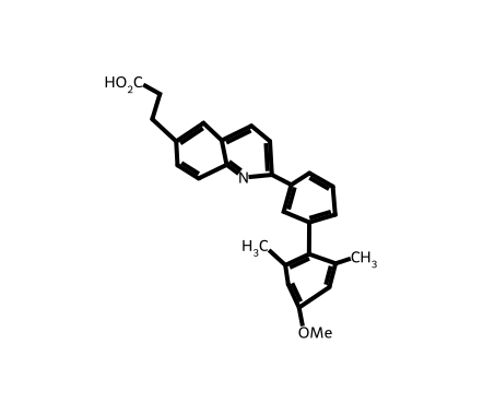 COc1cc(C)c(-c2cccc(-c3ccc4cc(CCC(=O)O)ccc4n3)c2)c(C)c1